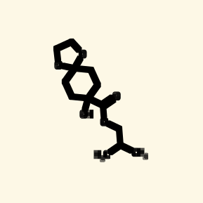 CC(C)COC(=O)C1(O)CCC2(CC1)OCCO2